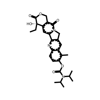 CC[C@@]1(O)C(=O)OCc2c1cc1n(c2=O)Cc2cc3c(C)c(OC(=O)N(C(C)C)C(C)C)ccc3nc2-1